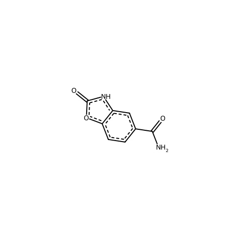 NC(=O)c1ccc2oc(=O)[nH]c2c1